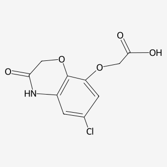 O=C(O)COc1cc(Cl)cc2c1OCC(=O)N2